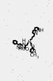 Cc1ccc(OCCN(CCCCc2ccc3c(n2)NCCC3)CCC(Nc2cc(-c3ccccc3)ncn2)C(=O)O)cn1